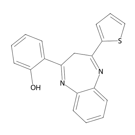 Oc1ccccc1C1=Nc2ccccc2N=C(c2cccs2)C1